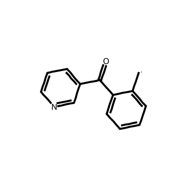 [CH2]c1ccccc1C(=O)c1cccnc1